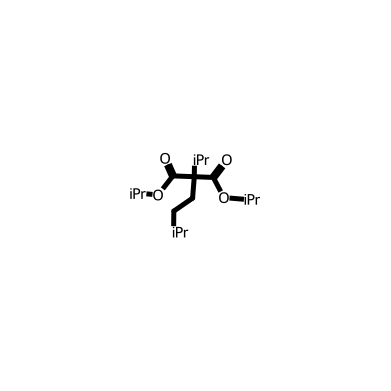 CC(C)CCC(C(=O)OC(C)C)(C(=O)OC(C)C)C(C)C